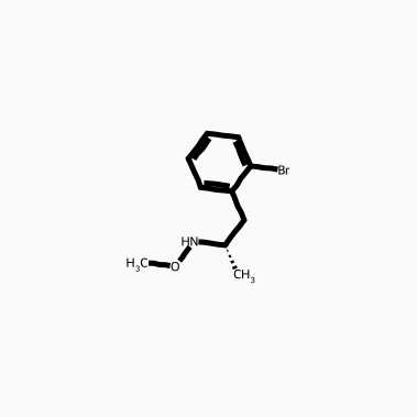 CON[C@@H](C)Cc1ccccc1Br